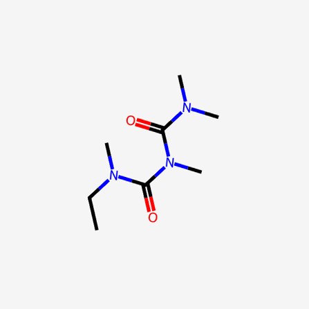 CCN(C)C(=O)N(C)C(=O)N(C)C